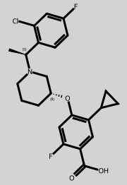 C[C@@H](c1ccc(F)cc1Cl)N1CCC[C@@H](Oc2cc(F)c(C(=O)O)cc2C2CC2)C1